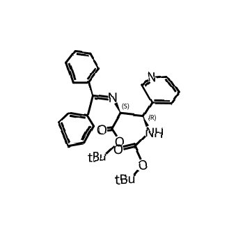 CC(C)(C)OC(=O)N[C@H](c1cccnc1)[C@H](N=C(c1ccccc1)c1ccccc1)C(=O)OC(C)(C)C